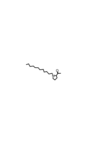 CCCCCCCCCCCCN1CCCC1C(C)=O